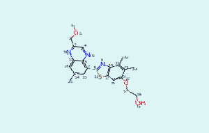 COCc1cnc2c(-c3nc4c(C)c(C)c(OCCO)cc4s3)cc(C)cc2n1